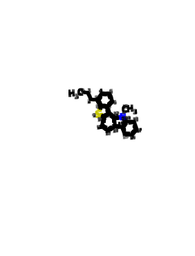 CCCc1cccc2c1sc1ccc3c4ccccc4n(C)c3c12